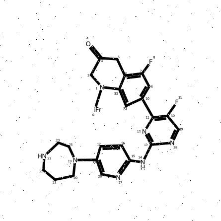 CC(C)N1CC(=O)Cc2c(F)cc(-c3nc(Nc4ccc(N5CCCNCC5)cn4)ncc3F)cc21